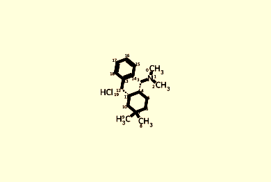 CN(C)C[C@@H]1CCC(C)(C)C[C@@H]1Cc1ccccc1.Cl